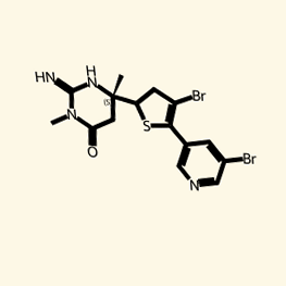 CN1C(=N)N[C@](C)(C2CC(Br)=C(c3cncc(Br)c3)S2)CC1=O